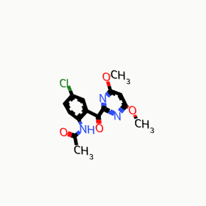 COc1cc(OC)nc(C(=O)c2cc(Cl)ccc2NC(C)=O)n1